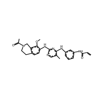 C=CC(=O)Nc1cccc(Nc2nc(Nc3ccc4c(c3OC)CN(C(C)=O)CC4)ncc2C)c1